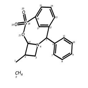 C.CC1CN2C(c3ccccc3)c3cccc(c3)S(=O)(=O)OC12